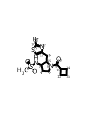 CS(=O)(=O)NC1CCN(C(=O)C2CCC2)C1Cc1csc(Br)n1